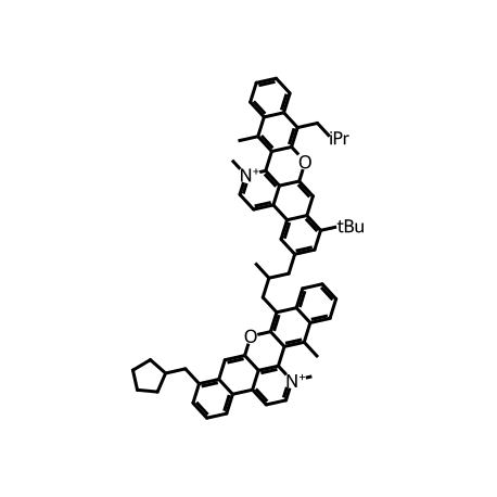 Cc1c2c(c(CC(C)Cc3cc(C(C)(C)C)c4cc5c6c([n+](C)ccc6c4c3)-c3c(c(CC(C)C)c4ccccc4c3C)O5)c3ccccc13)Oc1cc3c(CC4CCCC4)cccc3c3cc[n+](C)c-2c13